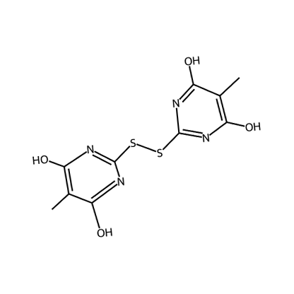 Cc1c(O)nc(SSc2nc(O)c(C)c(O)n2)nc1O